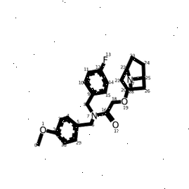 COc1ccc(CN(Cc2ccc(F)cc2)C(=O)COC2CC3CCC(C2)N3C)cc1